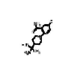 CC(C)(N)C1CCN(c2ccc(Cl)cc2C(N)=O)CC1